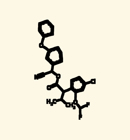 CC(C)C(C(=O)OC(C#N)c1cccc(Oc2ccccc2)c1)c1ccc(Cl)cc1OC(F)F